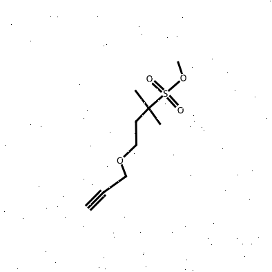 C#CCOCCC(C)(C)S(=O)(=O)OC